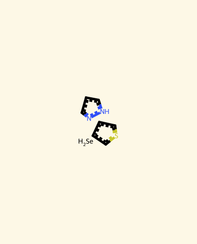 [SeH2].c1ccsc1.c1cn[nH]c1